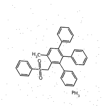 Cc1cc(-c2ccccc2)c(-c2ccccc2)c(-c2ccccc2)c1CS(=O)(=O)c1ccccc1.P